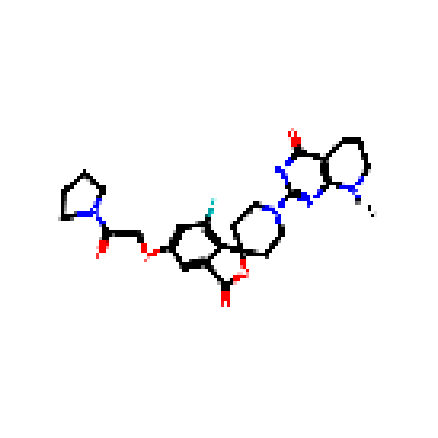 CN1CCCc2c1nc(N1CCC3(CC1)OC(=O)c1cc(OCC(=O)N4CCCC4)cc(F)c13)[nH]c2=O